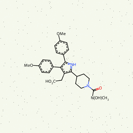 COc1ccc(-c2[nH]c(C3CCN(C(=O)N(C)O)CC3)c(CC(=O)O)c2-c2ccc(OC)cc2)cc1